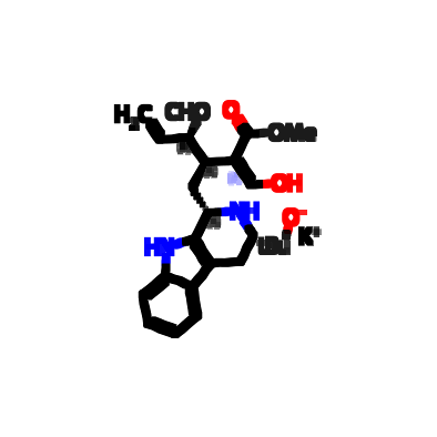 C=C[C@@H](C=O)[C@H](C[C@@H]1NCCc2c1[nH]c1ccccc21)/C(=C/O)C(=O)OC.CC(C)(C)[O-].[K+]